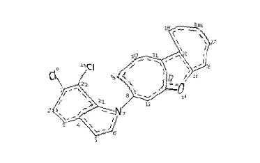 Clc1ccc2ccn(-c3ccc4c(c3)oc3ccccc34)c2c1Cl